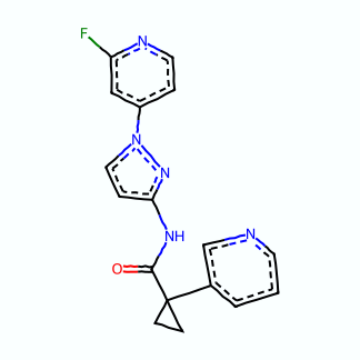 O=C(Nc1ccn(-c2ccnc(F)c2)n1)C1(c2cccnc2)CC1